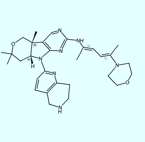 C/C(=C\C=C(/C)N1CCOCC1)Nc1ncc2c(n1)N(c1ccc3c(n1)CCNC3)[C@@H]1CC(C)(C)OC[C@]21C